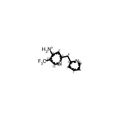 Nc1cc(Cc2ccccn2)ncc1C(F)(F)F